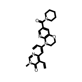 C=C/C(=C\c1ncn(C)c(=O)c1C=C)N1CCOc2cc(C(=O)N3CCCCC3)cnc21